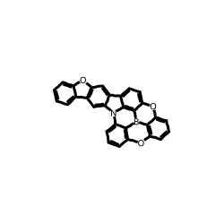 c1cc2c3c(c1)Oc1ccc4c5cc6oc7ccccc7c6cc5n5c4c1B3c1c(cccc1-5)O2